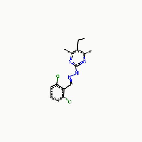 CCc1c(C)nc(NN=Cc2c(Cl)cccc2Cl)nc1C